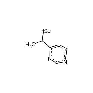 CC(c1ccncn1)C(C)(C)C